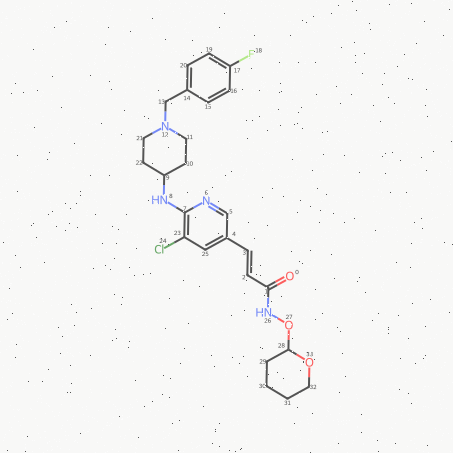 O=C(C=Cc1cnc(NC2CCN(Cc3ccc(F)cc3)CC2)c(Cl)c1)NOC1CCCCO1